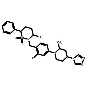 CC1CC(n2cnnc2)CCN1c1ccc(CN2C(C)CCC(c3ccccc3)S2(=O)=O)c(F)c1